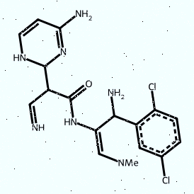 CN/C=C(/NC(=O)C(C=N)C1N=C(N)C=CN1)C(N)c1cc(Cl)ccc1Cl